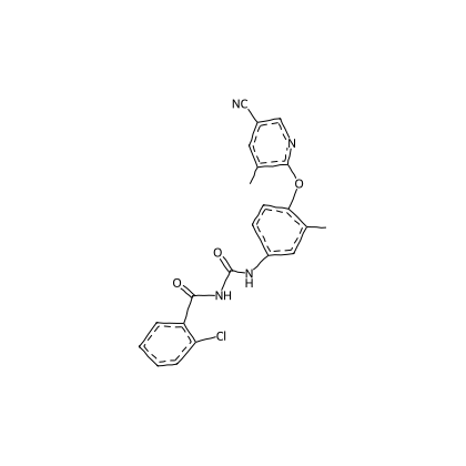 Cc1cc(NC(=O)NC(=O)c2ccccc2Cl)ccc1Oc1ncc(C#N)cc1C